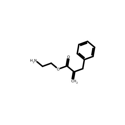 C=C(Cc1ccccc1)C(=O)OCCN